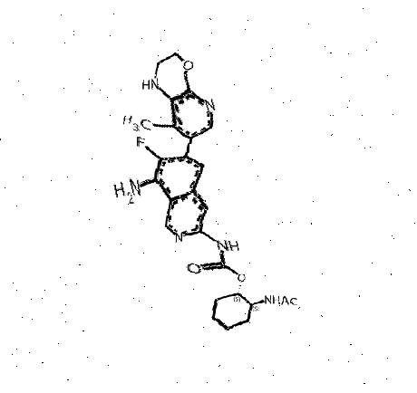 CC(=O)N[C@H]1CCCC[C@@H]1OC(=O)Nc1cc2cc(-c3cnc4c(c3C)NCCO4)c(F)c(N)c2cn1